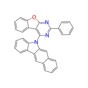 c1ccc(-c2nc(-n3c4ccccc4c4cc5ccccc5cc43)c3c(n2)oc2ccccc23)cc1